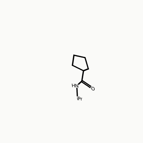 CC(C)NC(=O)C1CCCC1